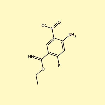 CCOC(=N)c1cc([N+](=O)[O-])c(N)cc1F